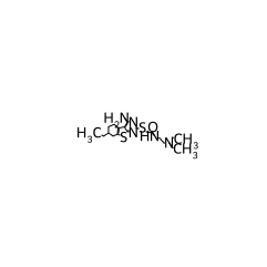 CCC1CCc2c(sc3nc(SCC(=O)NCCN(CC)CC)nc(N)c23)C1